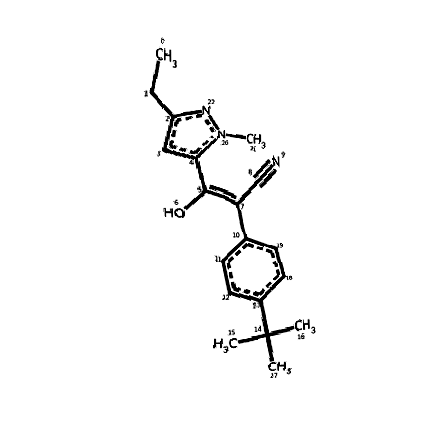 CCc1cc(C(O)=C(C#N)c2ccc(C(C)(C)C)cc2)n(C)n1